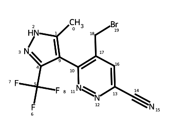 Cc1[nH]nc(C(F)(F)F)c1-c1nnc(C#N)cc1CBr